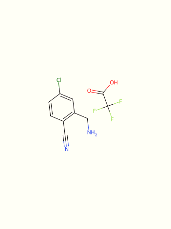 N#Cc1ccc(Cl)cc1CN.O=C(O)C(F)(F)F